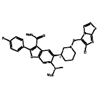 CNC(=O)c1c(-c2ccc(F)cc2)oc2cc(N(C)SC)c([C@@H]3CCCN(Sc4c(Cl)nc5sccn45)C3)cc12